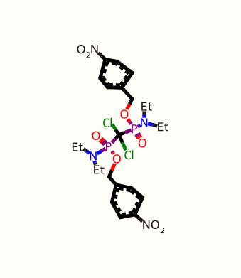 CCN(CC)P(=O)(OCc1ccc([N+](=O)[O-])cc1)C(Cl)(Cl)P(=O)(OCc1ccc([N+](=O)[O-])cc1)N(CC)CC